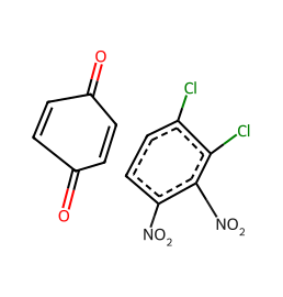 O=C1C=CC(=O)C=C1.O=[N+]([O-])c1ccc(Cl)c(Cl)c1[N+](=O)[O-]